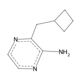 Nc1nccnc1CC1CCC1